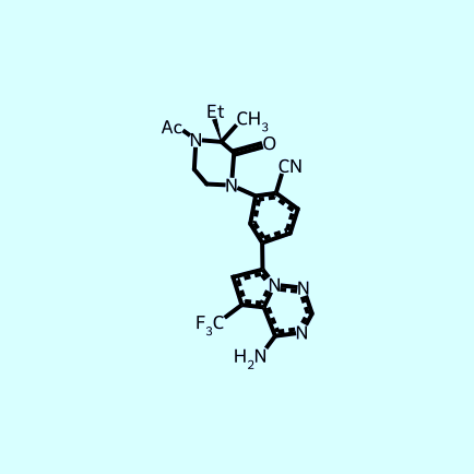 CC[C@@]1(C)C(=O)N(c2cc(-c3cc(C(F)(F)F)c4c(N)ncnn34)ccc2C#N)CCN1C(C)=O